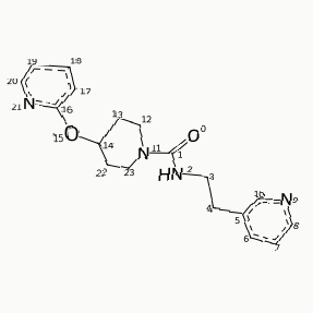 O=C(NCCc1cccnc1)N1CCC(Oc2ccccn2)CC1